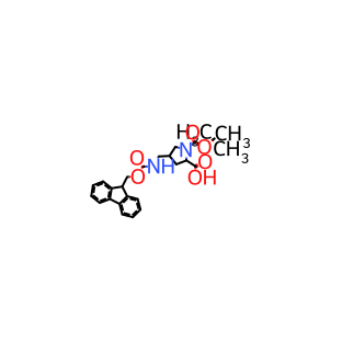 CC(C)(C)OC(=O)N1CC(CNC(=O)OCC2c3ccccc3-c3ccccc32)CC1C(=O)O